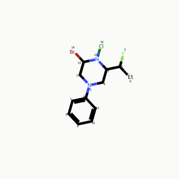 CCC(F)C1CN(c2ccccc2)CC(Br)N1Cl